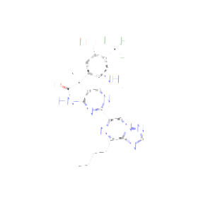 CCCCc1nc(-c2nc(N)c3c(n2)NC(=O)[C@]3(C)c2ccc(C(F)(F)F)c(O)c2)cn2ncnc12